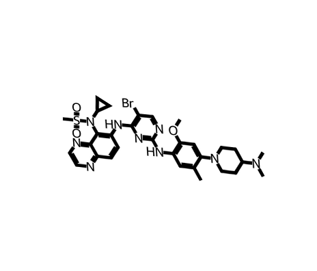 COc1cc(N2CCC(N(C)C)CC2)c(C)cc1Nc1ncc(Br)c(Nc2ccc3nccnc3c2N(C2CC2)S(C)(=O)=O)n1